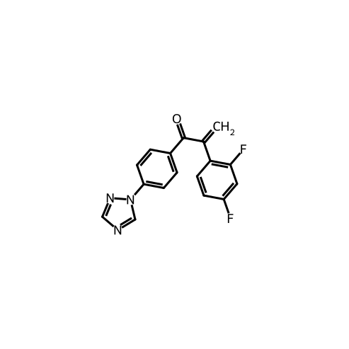 C=C(C(=O)c1ccc(-n2cncn2)cc1)c1ccc(F)cc1F